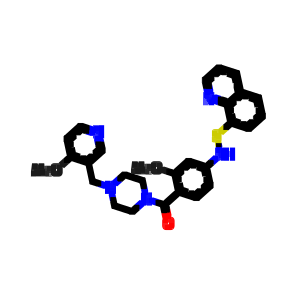 COc1ccncc1CN1CCN(C(=O)c2ccc(NSc3cccc4cccnc34)cc2OC)CC1